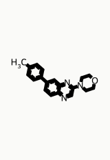 Cc1ccc(-c2ccc3ncc(N4CCOCC4)nc3c2)cc1